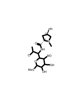 CCC[C@@H]1C[C@@H](C(=O)NC(C(C)Cl)C2OC(SC)C(O)C(O)C2N=O)N(C)C1